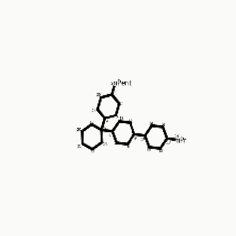 CCCCCC1CCC(C2(C3CCC(C4CCC(CCC)CC4)CC3)CCCCC2)CC1